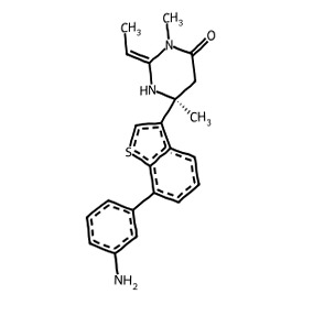 CC=C1N[C@](C)(c2csc3c(-c4cccc(N)c4)cccc23)CC(=O)N1C